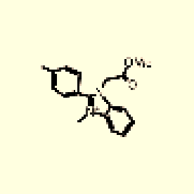 COC(=O)Cn1c(-c2ccc(C)cc2)[n+](C)c2ccccc21